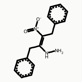 NNC(Cc1ccccc1)=C(Cc1ccccc1)[N+](=O)[O-]